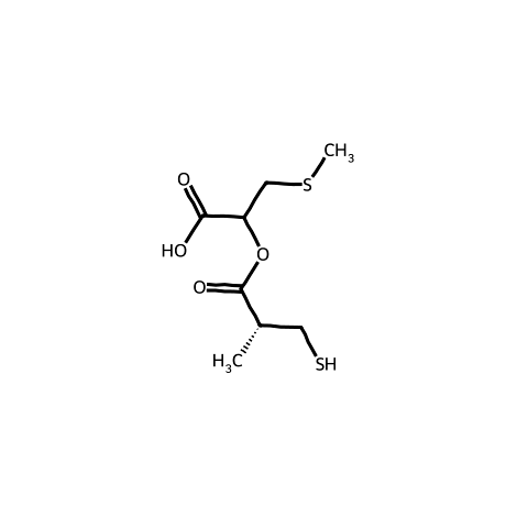 CSCC(OC(=O)[C@@H](C)CS)C(=O)O